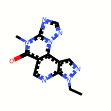 CCn1ncc2c1ncc1c(=O)n(C)c3ncnn3c12